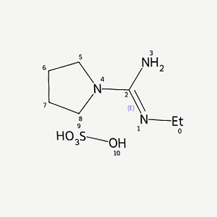 CC/N=C(\N)N1CCCC1.O=S(=O)(O)O